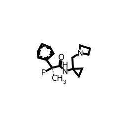 C[C@@](F)(C(=O)NC1(CN2CCC2)CC1)c1ccccc1